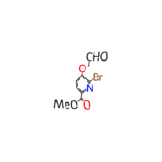 COC(=O)c1ccc(OCC=O)c(Br)n1